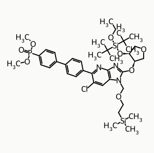 CCO[Si](O[C@H]1COC[C@H]1Oc1nc2nc(-c3ccc(-c4ccc(P(=O)(OC)OC)cc4)cc3)c(Cl)cc2n1COCC[Si](C)(C)C)(C(C)(C)C)C(C)(C)C